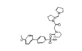 COc1ccc(-c2ccc(S(=O)(=O)N[C@H]3CCCN(CC(=O)N4CCC[C@H]4CN4CCCC4)C3=O)cc2)cc1